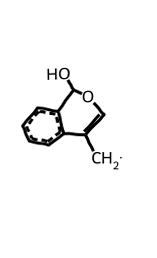 [CH2]C1=COC(O)c2ccccc21